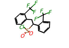 O=S(=O)(Cl)C(Cc1ccccc1C(F)(F)F)c1ccccc1C(F)(F)F